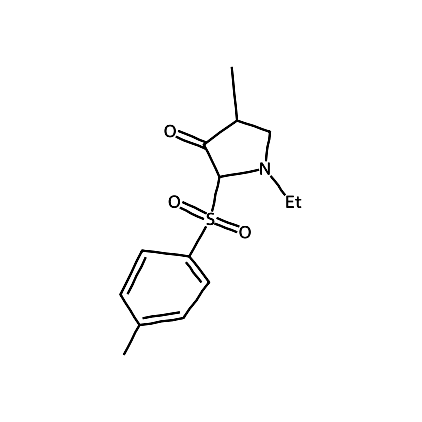 CCN1CC(C)C(=O)C1S(=O)(=O)c1ccc(C)cc1